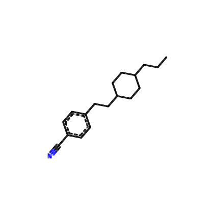 CCCC1CCC(CCc2ccc(C#N)cc2)CC1